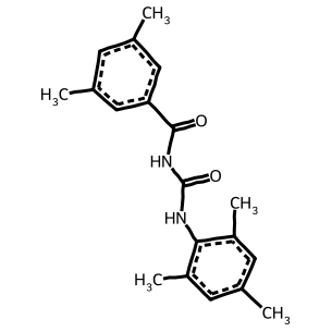 Cc1cc(C)cc(C(=O)NC(=O)Nc2c(C)cc(C)cc2C)c1